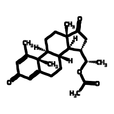 CC(=O)O[C@@H](C)[C@H]1CC(=O)[C@@]2(C)CC[C@H]3[C@@H](CCC4=CC(=O)C=C(C)[C@@]43C)[C@H]12